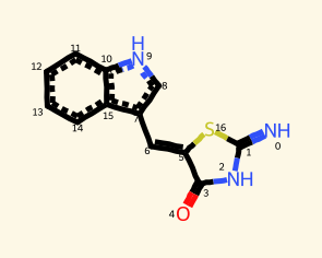 N=C1NC(=O)/C(=C/c2c[nH]c3ccccc23)S1